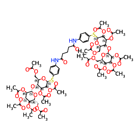 CC(=O)OC[C@H]1O[C@@H](Sc2ccc(NC(=O)CCCC(=O)Nc3ccc(S[C@@H]4O[C@H](COC(C)=O)[C@@H](O[C@@H]5O[C@H](COC(C)=O)[C@@H](OC(C)=O)[C@H](OC(C)=O)[C@H]5OC(C)=O)[C@H](OC(C)=O)[C@H]4OC(C)=O)cc3)cc2)[C@H](OC(C)=O)[C@@H](OC(C)=O)[C@@H]1O[C@@H]1O[C@H](COC(C)=O)[C@@H](OC(C)=O)[C@H](OC(C)=O)[C@H]1OC(C)=O